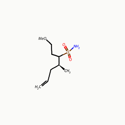 C=CC[C@H](C)C(CCOC)S(N)(=O)=O